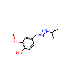 COc1cc(/C=N/NC(C)C)ccc1O